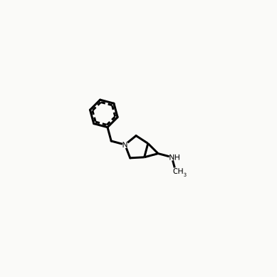 CNC1C2CN(Cc3ccccc3)CC21